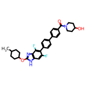 CC1CCC(Oc2nc3c(F)c(-c4ccc(-c5ccc(C(=O)N6CCC(O)CC6)cc5)cc4)c(F)cc3[nH]2)CC1